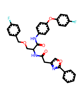 O=C(Cc1coc(-c2ccccc2)n1)NC(COCc1ccc(F)cc1)C(=O)Nc1ccc(Oc2ccc(F)cc2)cc1